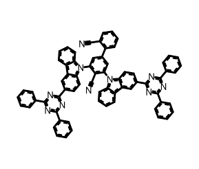 N#Cc1ccccc1-c1cc(-n2c3ccccc3c3cc(-c4nc(-c5ccccc5)nc(-c5ccccc5)n4)ccc32)c(C#N)c(-n2c3ccccc3c3cc(-c4nc(-c5ccccc5)nc(-c5ccccc5)n4)ccc32)c1